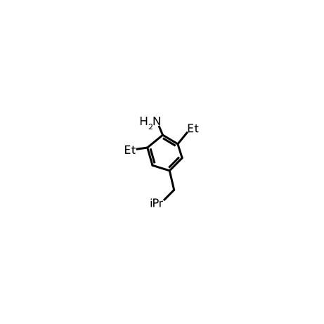 CCc1cc(CC(C)C)cc(CC)c1N